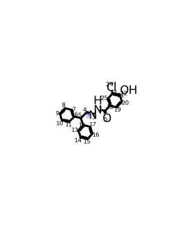 O=C(N/N=C/C(c1ccccc1)c1ccccc1)c1ccc(O)c(Cl)c1